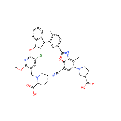 COc1nc(OC2CC(c3cc(-c4nc5c(C)c(N6CCC(C(=O)O)C6)cc(C#N)c5o4)ccc3C)c3ccccc32)c(Cl)cc1CN1CCCCC1C(=O)O